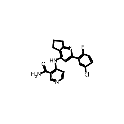 NC(=O)c1cnccc1Nc1cc(-c2cc(Cl)ccc2F)nc2c1CCC2